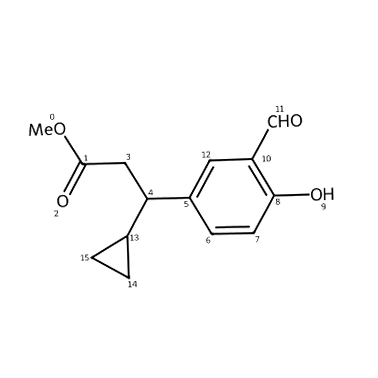 COC(=O)CC(c1ccc(O)c(C=O)c1)C1CC1